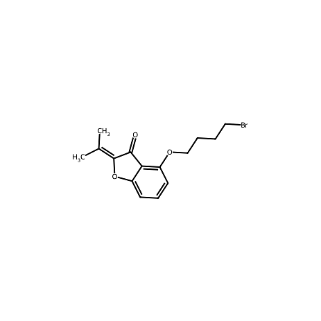 CC(C)=C1Oc2cccc(OCCCCBr)c2C1=O